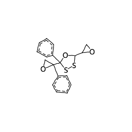 c1ccc(C2(C3(c4ccccc4)OC(C4CO4)SS3)CO2)cc1